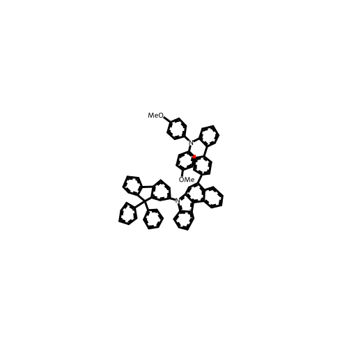 COc1ccc(N(c2ccc(OC)cc2)c2ccccc2-c2ccc(-c3cc4c(c5ccccc35)c3ccccc3n4-c3ccc4c(c3)C(c3ccccc3)(c3ccccc3)c3ccccc3-4)cc2)cc1